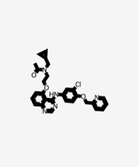 CC(=O)N(CCOc1cccc2ncnc(Nc3ccc(OCc4ccccn4)c(Cl)c3)c12)CC1CC1